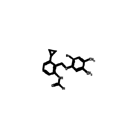 CCC(=O)Nc1cccc(C2CC2)c1COc1cc(C)c(C)cc1Br